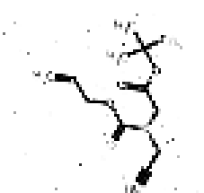 C#CCN(CC(=O)OC(C)(C)C)C(=O)OCC=C